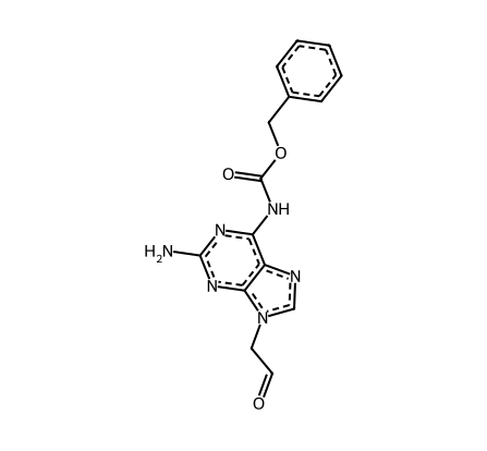 Nc1nc(NC(=O)OCc2ccccc2)c2ncn(CC=O)c2n1